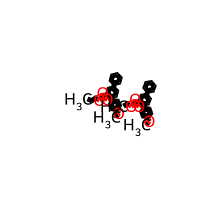 CCCOC(=O)OC1(c2ccc(OC)cc2)CC=C(C2=CCCCC2)CC1.CCOC(=O)OC1(c2ccc(OC)cc2)CC=C(C2=CCCCC2)CC1